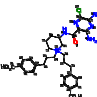 Nc1nc(N)c(C(=O)NC2CCC[N+](CCCc3ccc(C(=O)O)cc3)(CCCc3ccc(C(=O)O)cc3)C2)nc1Cl